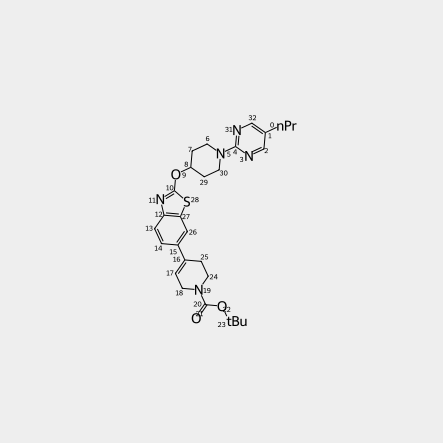 CCCc1cnc(N2CCC(Oc3nc4ccc(C5=CCN(C(=O)OC(C)(C)C)CC5)cc4s3)CC2)nc1